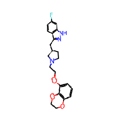 Fc1ccc2c(CC3CCN(CCOc4cccc5c4OCCO5)C3)n[nH]c2c1